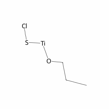 CCC[O][Ti][S]Cl